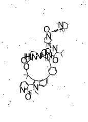 CCn1c(-c2cccnc2[C@H](C)OC)c2c3cc(ccc31)-c1cccc(c1)C[C@H](NC(=O)C(C(C)C)N(C)C(=O)[C@H]1CCN(C(=O)C#C[C@]3(C)CCCN3C)C1)C(=O)N1CCC[C@H](N1)C(=O)OCC(C)(C)C2